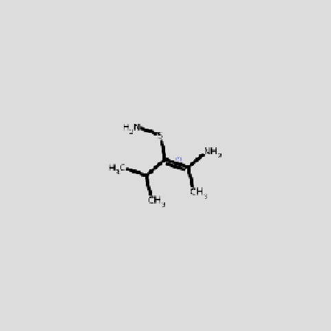 C/C(N)=C(/SN)C(C)C